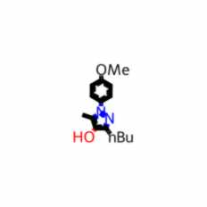 CCCCc1nn(-c2ccc(OC)cc2)c(C)c1O